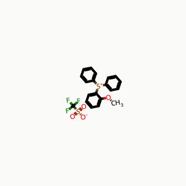 COc1ccccc1[S+](c1ccccc1)c1ccccc1.O=S(=O)([O-])C(F)(F)F